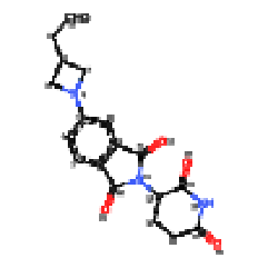 O=CCC1CN(c2ccc3c(c2)C(=O)N(C2CCC(=O)NC2=O)C3=O)C1